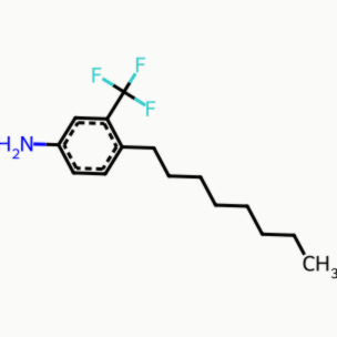 CCCCCCCCc1ccc(N)cc1C(F)(F)F